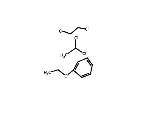 CC(Cl)Cl.CCOc1ccccc1.ClCCCl